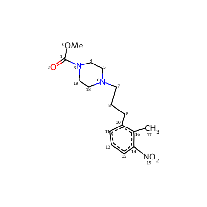 COC(=O)N1CCN(CCCc2cccc([N+](=O)[O-])c2C)CC1